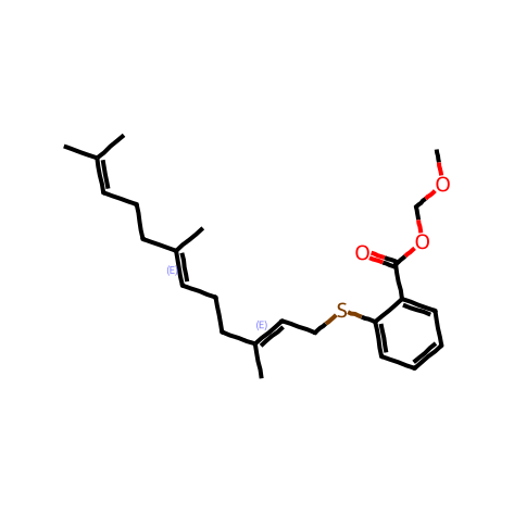 COCOC(=O)c1ccccc1SC/C=C(\C)CC/C=C(\C)CCC=C(C)C